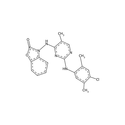 Cc1cc(Nc2ncc(C)c(Nn3c(=O)oc4ccccc43)n2)c(C)cc1Cl